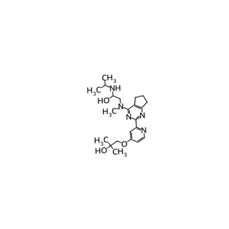 CC(C)NC(O)CN(C)c1nc(-c2cc(OCC(C)(C)O)ccn2)nc2c1CCC2